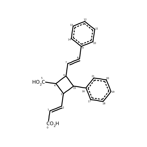 O=C(O)C=CC1C(C(=O)O)C(C=Cc2ccccc2)C1c1ccccc1